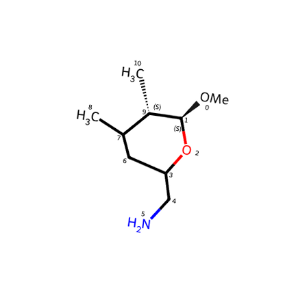 CO[C@H]1OC(CN)CC(C)[C@@H]1C